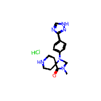 CN1CN(c2ccc(-c3nc[nH]n3)cc2)C2(CCNCC2)C1=O.Cl